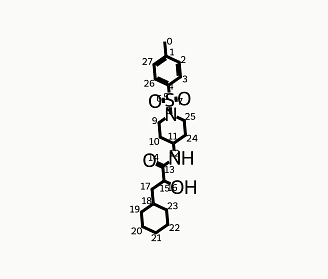 Cc1ccc(S(=O)(=O)N2CCC(NC(=O)C(O)CC3CCCCC3)CC2)cc1